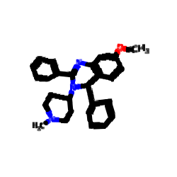 COc1ccc2c(c1)N=C(c1ccccc1)N(C1CCN(C)CC1)C2c1ccccc1